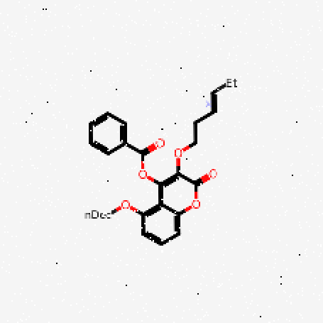 CC/C=C/CCOc1c(OC(=O)c2ccccc2)c2c(OCCCCCCCCCC)cccc2oc1=O